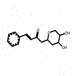 O=C(/C=C/c1ccccc1)CC1CC(O)C(O)CO1